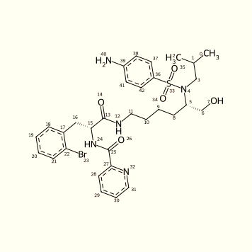 CC(C)CN([C@H](CO)CCCCNC(=O)[C@@H](Cc1ccccc1Br)NC(=O)c1ccccn1)S(=O)(=O)c1ccc(N)cc1